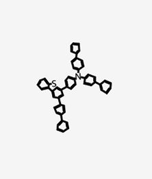 c1ccc(-c2ccc(-c3cc(-c4ccc(N(c5ccc(-c6ccccc6)cc5)c5ccc(-c6ccccc6)cc5)cc4)c4sc5ccccc5c4c3)cc2)cc1